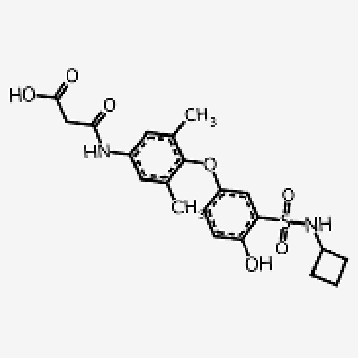 Cc1cc(NC(=O)CC(=O)O)cc(C)c1Oc1ccc(O)c(S(=O)(=O)NC2CCC2)c1